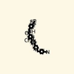 N#Cc1ccc(CN2CCC(N3CCN(c4ncc(C(=O)NCc5ccc(C(F)(F)F)cc5)cc4Cl)CC3)CC2)cc1